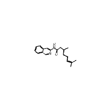 CC(C)=CCCC(C)CC(=O)Nc1cc2ccccc2cn1